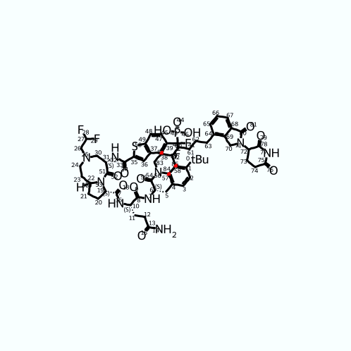 CC(C)(C)c1ccc(C[C@H](NC(=O)[C@H](CCC(N)=O)NC(=O)[C@@H]2CC[C@@H]3CCN(CC(F)F)C[C@H](NC(=O)c4cc5cc(C(F)(F)P(=O)(O)O)ccc5s4)C(=O)N32)C(=O)N2CCC(CCCCc3cccc4c3CN(C3CCC(=O)NC3=O)C4=O)CC2)cc1